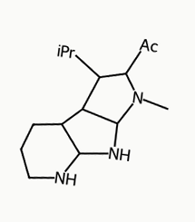 CC(=O)C1C(C(C)C)C2C3CCCNC3NC2N1C